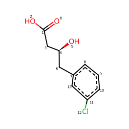 O=C(O)C[C@@H](O)Cc1cccc(Cl)c1